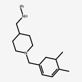 CC1=CC=C(CN2CCC(CNC(C)C)CC2)CC1C